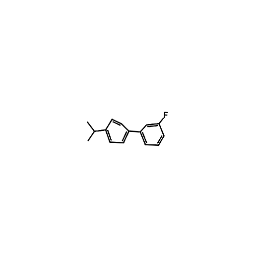 CC(C)c1ccc(-c2cccc(F)c2)cc1